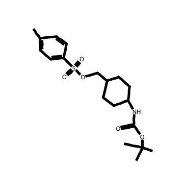 Cc1ccc(S(=O)(=O)OCC2CCC(NC(=O)OC(C)(C)C)CC2)cc1